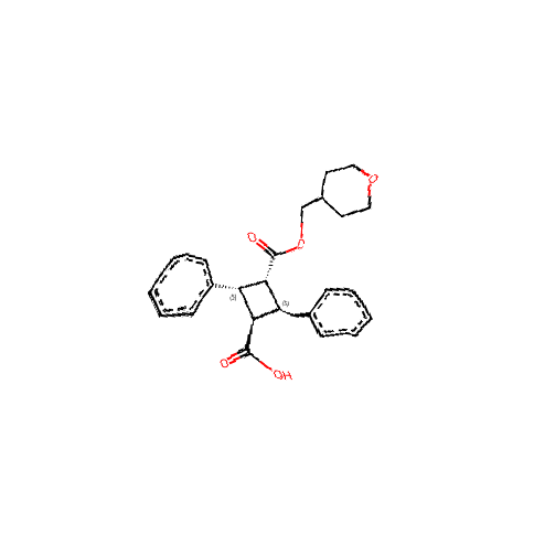 O=C(O)[C@H]1[C@H](c2ccccc2)[C@H](C(=O)OCC2CCOCC2)[C@H]1c1ccccc1